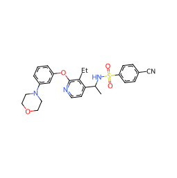 CCc1c(C(C)NS(=O)(=O)c2ccc(C#N)cc2)ccnc1Oc1cccc(N2CCOCC2)c1